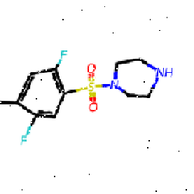 Cc1cc(F)c(S(=O)(=O)N2CCNCC2)cc1F